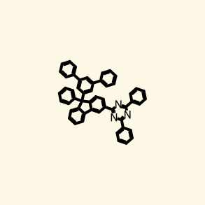 c1ccc(-c2cc(-c3ccccc3)cc(C3(c4ccccc4)c4ccccc4-c4cc(-c5nc(-c6ccccc6)nc(-c6ccccc6)n5)ccc43)c2)cc1